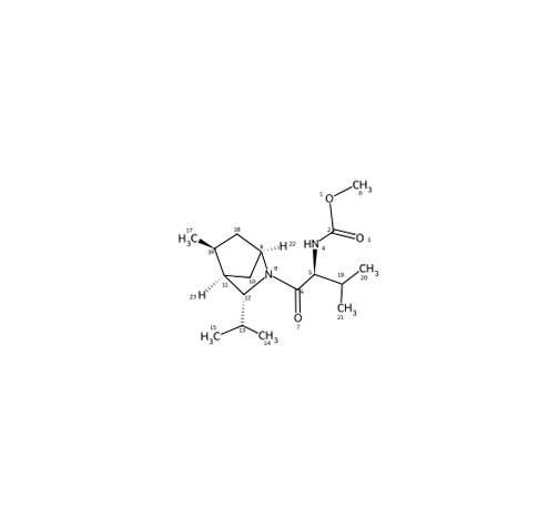 COC(=O)N[C@H](C(=O)N1[C@H]2C[C@@H]([C@H]1C(C)C)[C@@H](C)C2)C(C)C